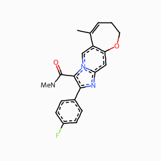 CNC(=O)c1c(-c2ccc(F)cc2)nc2cc3c(cn12)C(C)=CCCO3